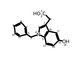 O=C(O)Cc1cn(Cc2ccccc2)c2ccc(O)cc12